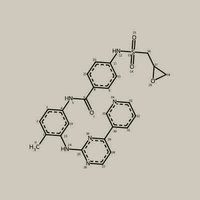 Cc1ccc(NC(=O)c2ccc(NS(=O)(=O)CC3CO3)cc2)cc1Nc1nccc(-c2cccnc2)n1